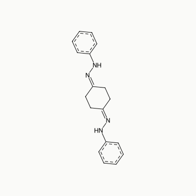 c1ccc(NN=C2CCC(=NNc3ccccc3)CC2)cc1